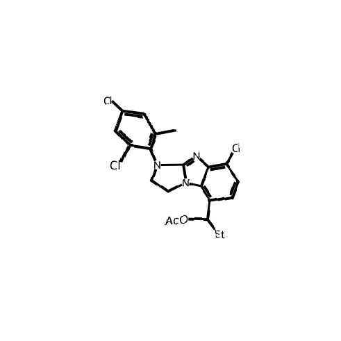 CCC(OC(C)=O)c1ccc(Cl)c2nc3n(c12)CCN3c1c(C)cc(Cl)cc1Cl